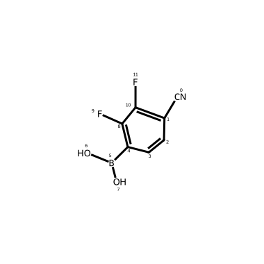 N#Cc1ccc(B(O)O)c(F)c1F